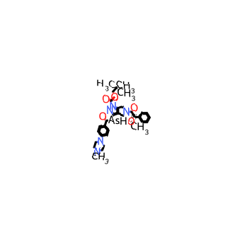 CO[C@@H](C(=O)N1Cc2c([AsH]C(=O)c3ccc(N4CCN(C)CC4)cc3)nn(C(=O)OCC(C)(C)C)c2C1)c1ccccc1